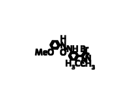 COc1cccc(NC(=O)Nc2ccc(C)c(-c3c(Br)cnn3C)c2)c1